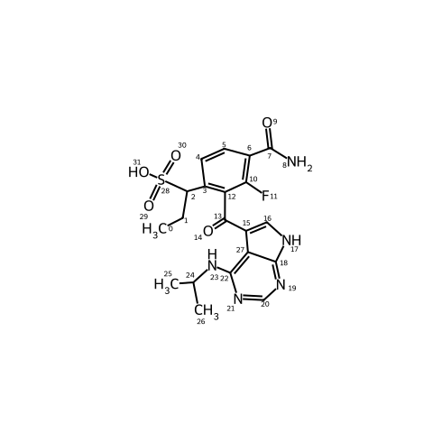 CCC(c1ccc(C(N)=O)c(F)c1C(=O)c1c[nH]c2ncnc(NC(C)C)c12)S(=O)(=O)O